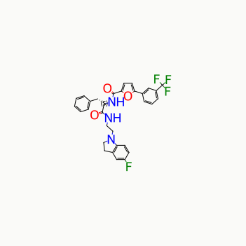 O=C(N[C@@H](Cc1ccccc1)C(=O)NCCN1CCc2cc(F)ccc21)c1ccc(-c2cccc(C(F)(F)F)c2)o1